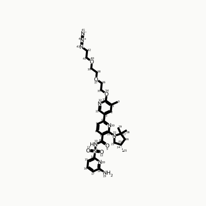 Cc1cc(-c2ccc(C(=O)NS(=O)(=O)c3cccc(N)n3)c(N3C[C@@H](C)CC3(C)C)n2)cnc1OCCOCCOCCN=[N+]=[N-]